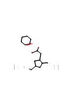 CCC1CC(CC)C(CC2COC3(CCCCC3)OC2)C1